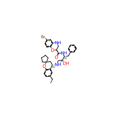 CCc1ccc2c(c1)[C@@H](NC[C@@H](O)[C@H](Cc1ccccc1)NC(=O)C1CNc3cc(Br)ccc3O1)CC1(CCCC1)O2